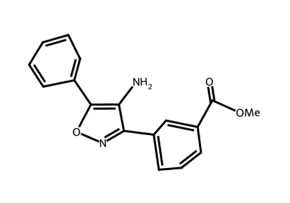 COC(=O)c1cccc(-c2noc(-c3ccccc3)c2N)c1